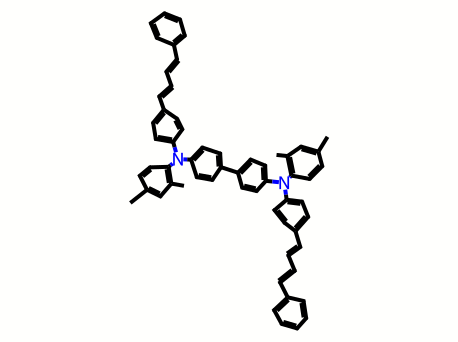 Cc1ccc(N(c2ccc(C=CC=Cc3ccccc3)cc2)c2ccc(-c3ccc(N(c4ccc(C=CC=Cc5ccccc5)cc4)c4ccc(C)cc4C)cc3)cc2)c(C)c1